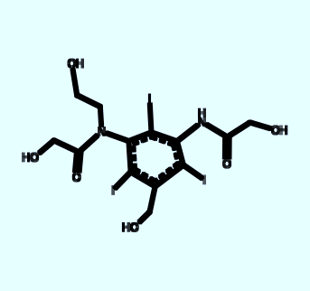 O=C(CO)Nc1c(I)c(CO)c(I)c(N(CCO)C(=O)CO)c1I